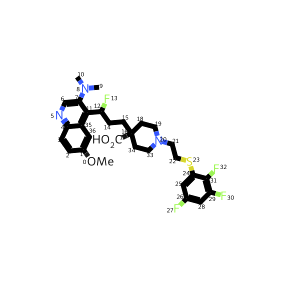 COc1ccc2ncc(N(C)C)c(C(F)CCC3(C(=O)O)CCN(CCSc4cc(F)cc(F)c4F)CC3)c2c1